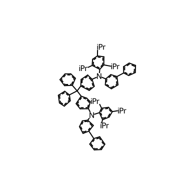 CC(C)c1cc(C(C)C)c(N(c2ccc(C(c3ccccc3)(c3ccccc3)c3ccc(N(c4cccc(-c5ccccc5)c4)c4c(C(C)C)cc(C(C)C)cc4C(C)C)cc3)cc2)c2cccc(-c3ccccc3)c2)c(C(C)C)c1